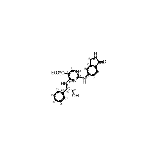 CCOC(=O)c1cnc(Nc2ccc3c(c2)CNC3=O)nc1N[C@H](CO)c1ccccc1